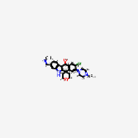 C/N=C\c1ccc2c3c([nH]c2c1)C1(CCOCC1)c1cc(N2CCN(C(C)(C)C)CC2)c(Br)cc1C3=O